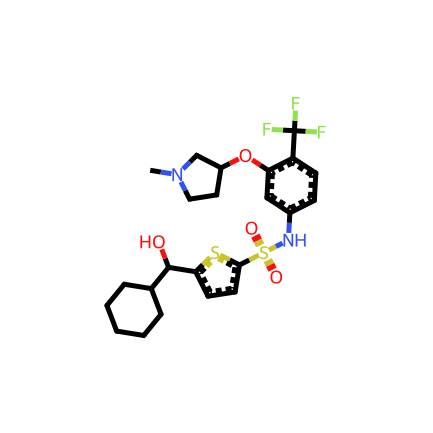 CN1CCC(Oc2cc(NS(=O)(=O)c3ccc(C(O)C4CCCCC4)s3)ccc2C(F)(F)F)C1